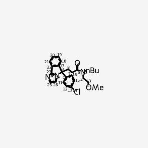 CCCCN(CCOC)C(=O)CCC1(c2ccc(Cl)cc2)c2ccccc2-c2nccn21